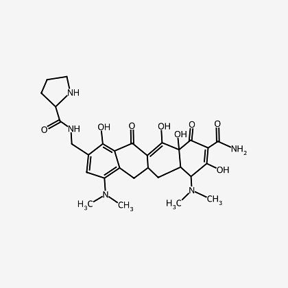 CN(C)c1cc(CNC(=O)C2CCCN2)c(O)c2c1CC1CC3C(N(C)C)C(O)=C(C(N)=O)C(=O)C3(O)C(O)=C1C2=O